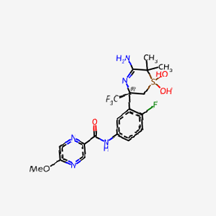 COc1cnc(C(=O)Nc2ccc(F)c([C@@]3(C(F)(F)F)CS(O)(O)C(C)(C)C(N)=N3)c2)cn1